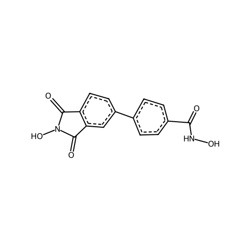 O=C(NO)c1ccc(-c2ccc3c(c2)C(=O)N(O)C3=O)cc1